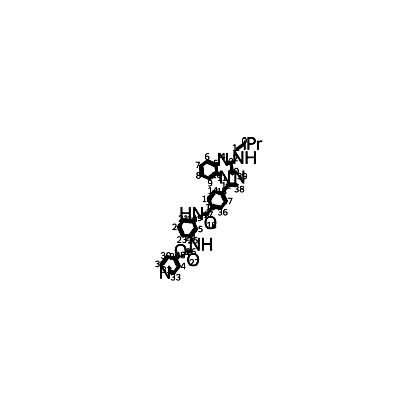 CC(C)CNc1nc2ccccc2n2c(-c3ccc(C(=O)Nc4cccc(NC(=O)Oc5ccncc5)c4)cc3)cnc12